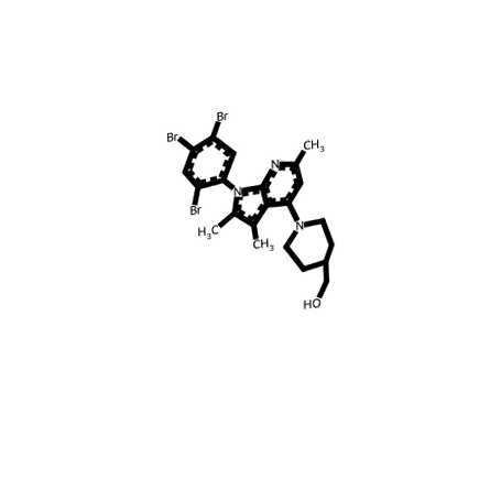 Cc1cc(N2CCC(CO)CC2)c2c(C)c(C)n(-c3cc(Br)c(Br)cc3Br)c2n1